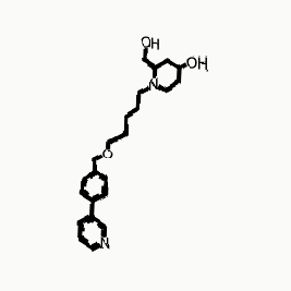 OCC1CC(O)CCN1CCCCCOCc1ccc(-c2cccnc2)cc1